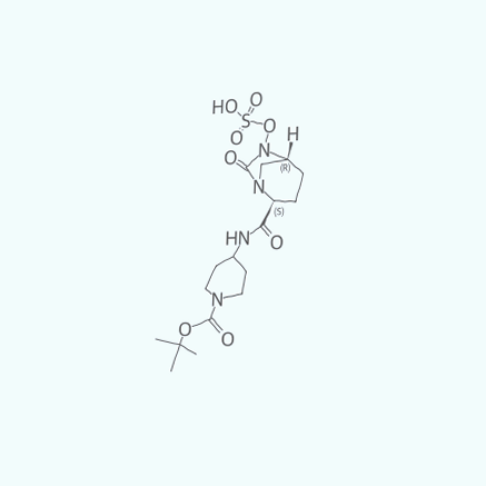 CC(C)(C)OC(=O)N1CCC(NC(=O)[C@@H]2CC[C@@H]3CN2C(=O)N3OS(=O)(=O)O)CC1